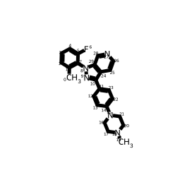 Cc1cccc(F)c1-n1nc(-c2ccc(N3CCN(C)CC3)cc2)c2ccncc21